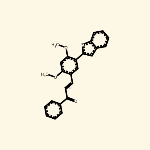 COc1cc(OC)c(-c2cc3ccccc3s2)cc1/C=C/C(=O)c1ccccc1